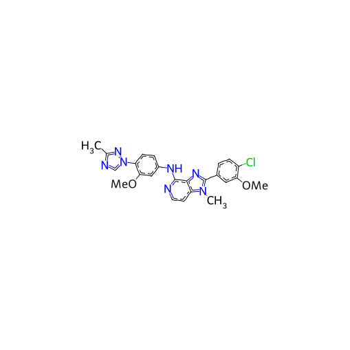 COc1cc(-c2nc3c(Nc4ccc(-n5cnc(C)n5)c(OC)c4)nccc3n2C)ccc1Cl